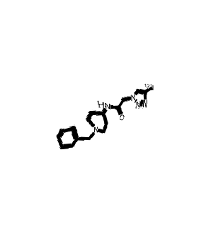 O=C(Cn1cc([123I])nn1)NC1CCN(Cc2ccccc2)CC1